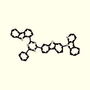 c1ccc(-c2nc(-c3ccc4c(c3)oc3cc(-n5c6ccccc6c6cccnc65)ccc34)nc(-c3cccc4c3sc3ccccc34)n2)cc1